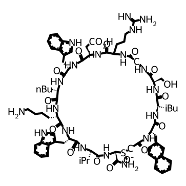 CCCC[C@@H]1NC(=O)[C@H](Cc2c[nH]c3ccccc23)NC(=O)[C@@H](CC(=O)O)NC(=O)C(CCCNC(=N)N)NC(=O)CNC(=O)[C@@H](CO)NC(=O)[C@@H]([C@@H](C)CC)NC(=O)[C@H](Cc2ccc3ccccc3c2)NC(=O)C[S+]([O-])[C@@H](C(N)=O)NC(=O)[C@H](C(C)C)NC(=O)[C@H](Cc2c[nH]c3ccccc23)NC(=O)[C@H](CCCCN)NC1=O